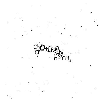 Cc1cnc(NC(=O)N2CCN(c3ccc(Cl)c(Cl)c3)CC2)s1